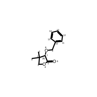 CC1(C)COC(=O)[C@@H]1OCc1ccccc1